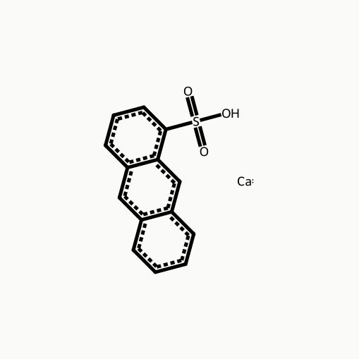 O=S(=O)(O)c1cccc2cc3ccccc3cc12.[Ca]